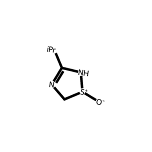 CC(C)C1=NC[S+]([O-])N1